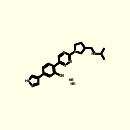 CC(C)NCC1CCN(c2ncc(-c3ccc(-c4cn[nH]c4)cc3O)nn2)C1.Cl.Cl